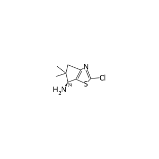 CC1(C)Cc2nc(Cl)sc2[C@H]1N